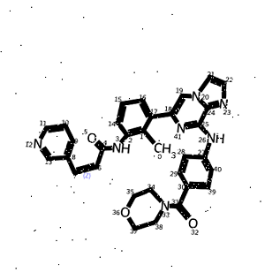 Cc1c(NC(=O)/C=C\c2cccnc2)cccc1-c1cn2ccnc2c(Nc2ccc(C(=O)N3CCOCC3)cc2)n1